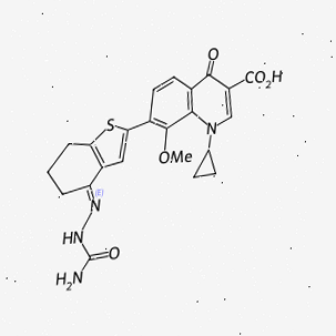 COc1c(-c2cc3c(s2)CCC/C3=N\NC(N)=O)ccc2c(=O)c(C(=O)O)cn(C3CC3)c12